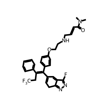 CN(C)C(=O)/C=C/CNCCOc1ccc(/C(C2=CCC3=NN=C(F)C3=C2)=C(/CC(F)(F)F)c2ccccc2)cc1